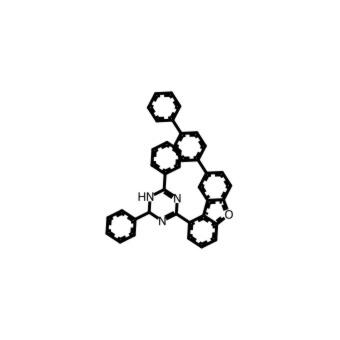 c1ccc(C2=NC(c3cccc4oc5ccc(-c6ccc(-c7ccccc7)cc6)cc5c34)=NC(c3ccccc3)N2)cc1